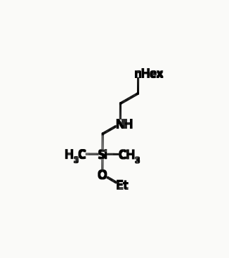 CCCCCCCCNC[Si](C)(C)OCC